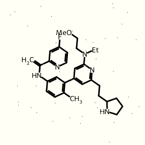 C=C(Nc1ccc(C)c(-c2cc(CCC3CCCN3)nc(N(CC)CCOC)c2)c1)c1cc(F)ccn1